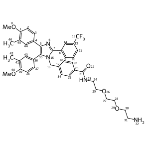 COc1ccc(-c2nc(-c3cccc(C(F)(F)F)c3)n(Cc3ccc(C(=O)NCCOCCOCCN)cc3)c2-c2ccc(OC)c(C)c2)cc1C